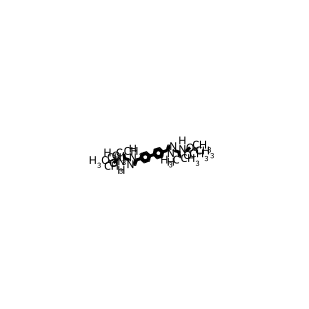 CC(C)[C@@H](NC(=O)OC(C)(C)C)c1ncc(-c2ccc(-c3ccc(-c4cnc([C@H](NC(=O)OC(C)(C)C)C(C)C)[nH]4)cc3)cc2)[nH]1